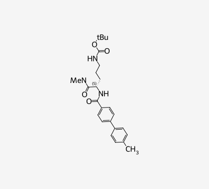 CNC(=O)[C@H](CCCNC(=O)OC(C)(C)C)NC(=O)c1ccc(-c2ccc(C)cc2)cc1